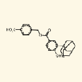 COc1ccc(C(=O)OCc2ccc(C(=O)O)cc2)cc1C12CC3CC(CC(C3)C1)C2